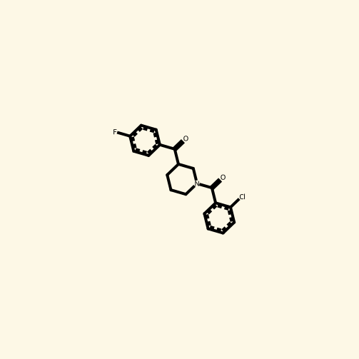 O=C(c1ccc(F)cc1)C1CCCN(C(=O)c2ccccc2Cl)C1